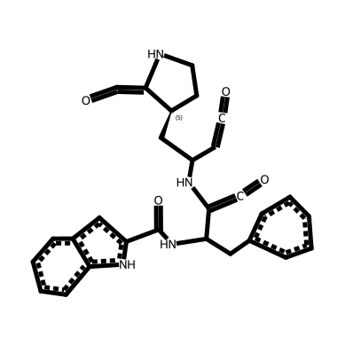 O=C=CC(C[C@@H]1CCNC1=C=O)NC(=C=O)C(Cc1ccccc1)NC(=O)c1cc2ccccc2[nH]1